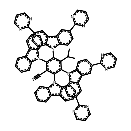 CC(C)c1c(-n2c3ccc(-c4ncccn4)cc3c3cc(-c4ncccn4)ccc32)c(-n2c3ccccc3c3ccccc32)c(C#N)c(-n2c3ccccc3c3ccccc32)c1-n1c2ccc(-c3ncccn3)cc2c2cc(-c3ncccn3)ccc21